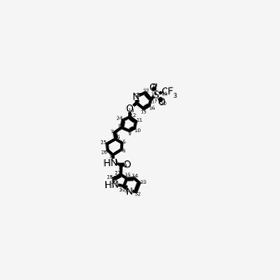 O=C(NC1CCC(=Cc2cccc(Oc3ccc(S(=O)(=O)C(F)(F)F)cn3)c2)CC1)c1c[nH]c2ncccc12